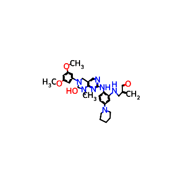 C=C(C=O)CNc1cc(N2CCCCC2)ccc1Nc1ncc2c(n1)N(C)C(O)N(c1cc(OC)cc(OC)c1)C2